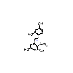 Oc1ccc(/C=C/c2cc(O)cc(O)[c]2[GeH3])c(O)c1